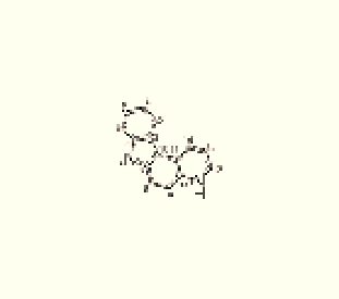 [c]1ccc2c(c1)nc1ccc3[nH]cccc3c12